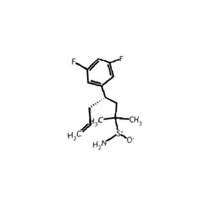 C=CC[C@@H](CC(C)(C)[S+](N)[O-])c1cc(F)cc(F)c1